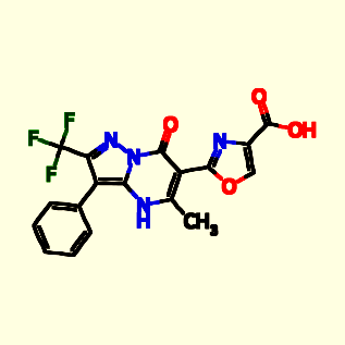 Cc1[nH]c2c(-c3ccccc3)c(C(F)(F)F)nn2c(=O)c1-c1nc(C(=O)O)co1